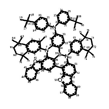 Cc1cc2c(cc1N1c3cc(N(c4ccc(C(C)(C)C)cc4)c4cccc(C(C)(C)C)c4)ccc3B3c4c(cc5c(oc6ccccc65)c41)-c1c(ccc4c1oc1ccccc14)N3c1ccc3c(c1)C(C)(C)CCC3(C)C)C(C)(C)CCC2(C)C